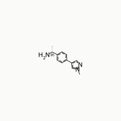 C[C@@H](N)c1ccc(-c2cnn(C)c2)cc1